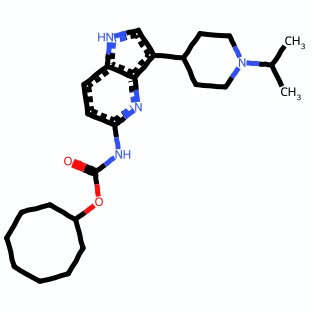 CC(C)N1CCC(c2c[nH]c3ccc(NC(=O)OC4CCCCCCC4)nc23)CC1